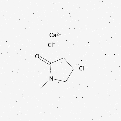 CN1CCCC1=O.[Ca+2].[Cl-].[Cl-]